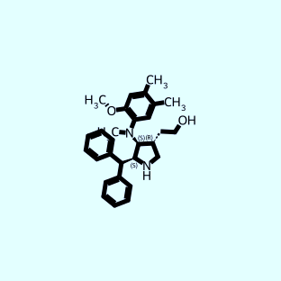 COc1cc(C)c(C)cc1N(C)[C@H]1[C@H](CCO)CN[C@H]1C(c1ccccc1)c1ccccc1